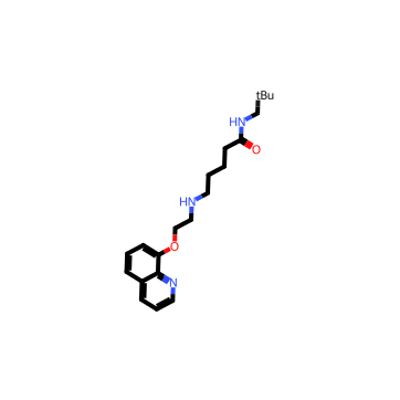 CC(C)(C)CNC(=O)CCCCNCCOc1cccc2cccnc12